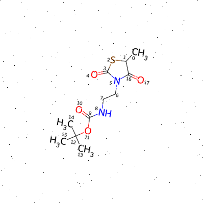 CC1SC(=O)N(CCNC(=O)OC(C)(C)C)C1=O